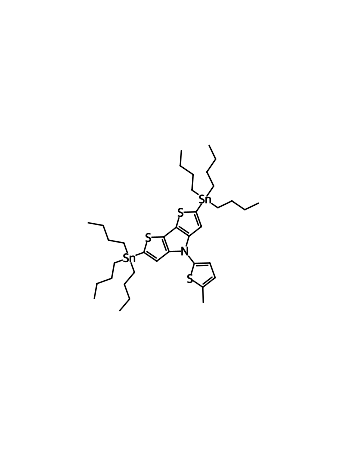 CCC[CH2][Sn]([CH2]CCC)([CH2]CCC)[c]1cc2c(s1)c1s[c]([Sn]([CH2]CCC)([CH2]CCC)[CH2]CCC)cc1n2-c1ccc(C)s1